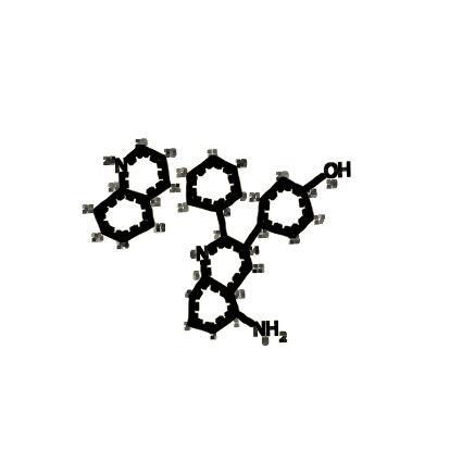 Nc1cccc2nc(-c3ccccc3)c(-c3ccc(O)cc3)cc12.c1ccc2ncccc2c1